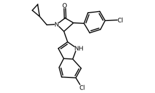 O=C1C(c2ccc(Cl)cc2)C(C2=CC3C=CC(Cl)=CC3N2)N1CC1CC1